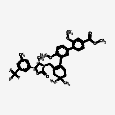 COC(=O)c1ccc(-c2ccc(OC)c(C3=C(CN4C(=O)O[C@H](c5cc(C)cc(C(F)(F)F)c5)[C@@H]4C)CC(C)(C)CC3)c2)c(OC)c1